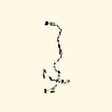 O=S(=O)(O)CCC=CCO